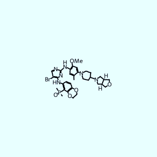 COc1cc(N2CCC(N3C[C@H]4COC[C@H]4C3)CC2)c(C)cc1Nc1ncc(Br)c(Nc2ccc3c(c2P(C)(C)=O)OCCO3)n1